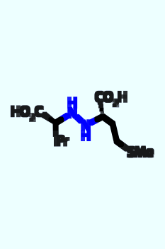 CSCC[C@H](NN[C@H](C(=O)O)C(C)C)C(=O)O